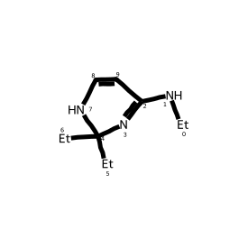 CCNC1=NC(CC)(CC)NC=C1